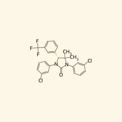 CC1(C)[C@@H](c2cccc(C(F)(F)F)c2)N(c2cccc(Cl)c2)C(=O)N1c1cccc(Cl)c1